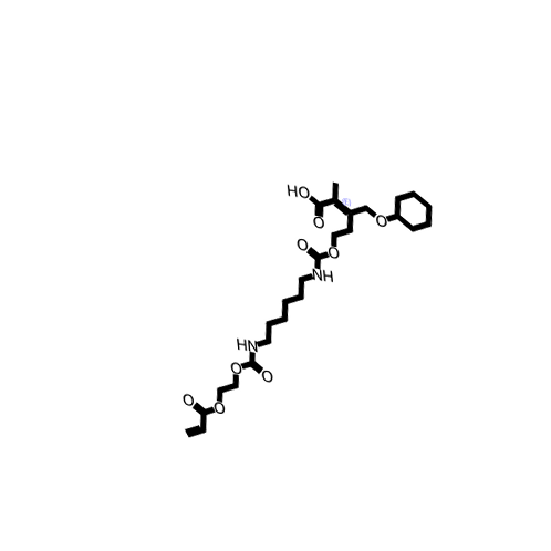 C=CC(=O)OCCOC(=O)NCCCCCCNC(=O)OCC/C(COC1CCCCC1)=C(/C)C(=O)O